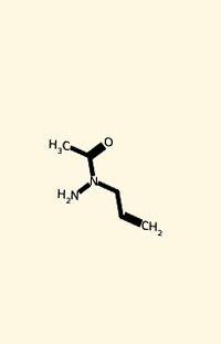 C=CCN(N)C(C)=O